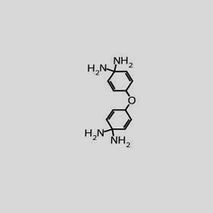 NC1(N)C=CC(OC2C=CC(N)(N)C=C2)C=C1